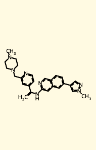 C=C(Nc1cc2cc(-c3cnn(C)c3)ccc2cn1)c1ccnc(CN2CCN(C)CC2)c1